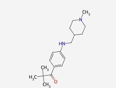 CN1CCC(CNc2ccc(C(=O)C(C)(C)C)cc2)CC1